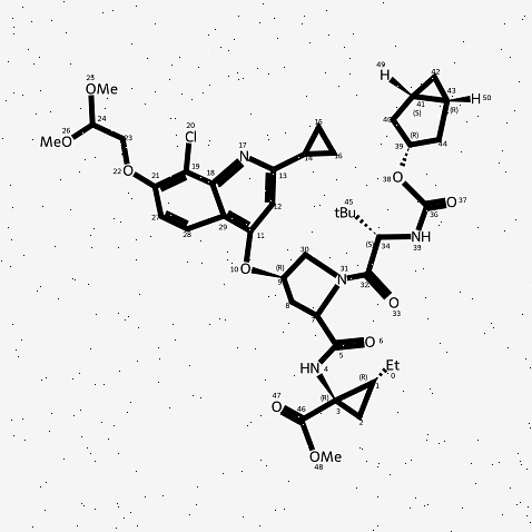 CC[C@@H]1C[C@]1(NC(=O)C1C[C@@H](Oc2cc(C3CC3)nc3c(Cl)c(OCC(OC)OC)ccc23)CN1C(=O)[C@@H](NC(=O)O[C@@H]1C[C@@H]2C[C@@H]2C1)C(C)(C)C)C(=O)OC